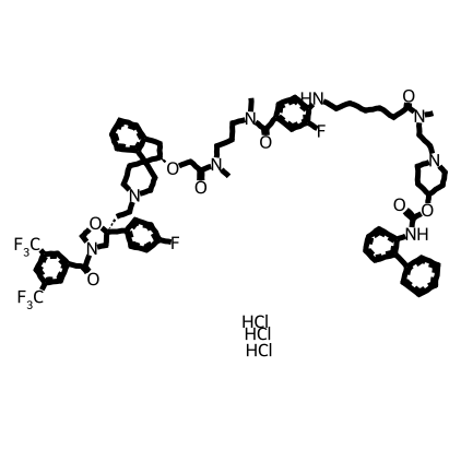 CN(CCN1CCC(OC(=O)Nc2ccccc2-c2ccccc2)CC1)C(=O)CCCCCNc1ccc(C(=O)N(C)CCCN(C)C(=O)CO[C@H]2Cc3ccccc3C23CCN(CC[C@]2(c4ccc(F)cc4)CN(C(=O)c4cc(C(F)(F)F)cc(C(F)(F)F)c4)CO2)CC3)cc1F.Cl.Cl.Cl